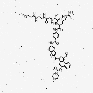 CCCOCCC(=O)NCCNC(=O)CN[C@H](C(=O)N[C@@H](CCCNC(N)=O)C(=O)Nc1ccc(C(=O)Nc2ccc3oc(C(=O)N4C[C@@H](CCl)c5c4cc(OC(=O)N4CCN(C)CC4)c4ccccc54)cc3c2)cc1)C(C)C